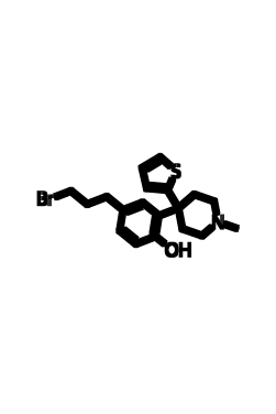 CN1CCC(c2cccs2)(c2cc(CCCBr)ccc2O)CC1